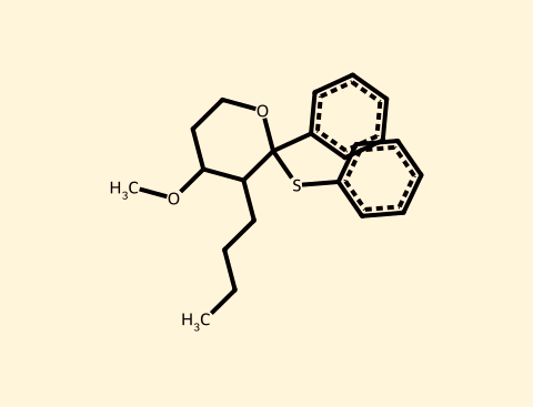 CCCCC1C(OC)CCOC1(Sc1ccccc1)c1ccccc1